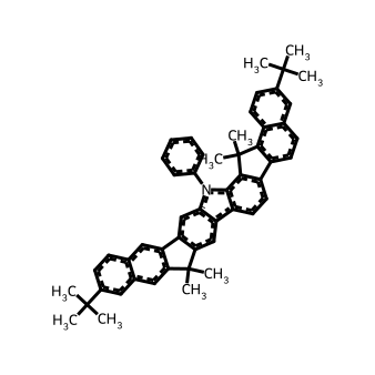 CC(C)(C)c1ccc2cc3c(cc2c1)C(C)(C)c1cc2c4ccc5c(c4n(-c4ccccc4)c2cc1-3)C(C)(C)c1c-5ccc2cc(C(C)(C)C)ccc12